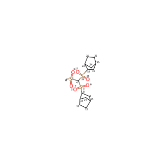 CS(=O)(=O)C(S(=O)(=O)C1CC2CCC1C2)S(=O)(=O)C1CC2CCC1C2